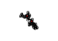 COc1cc2c(cc1OC)C(Cc1cc(C=O)c(OC)c(OC)c1)[N+](C)(CCCOC(=O)C#CC(=O)OCCC[N+]1(C)CCc3cc(OC)c(OC)c(OC)c3C1Cc1cc(OC)c(OC)c(OC)c1)CC2